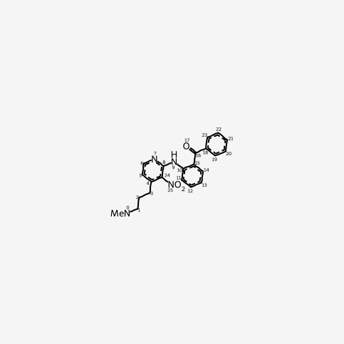 CNCCCc1ccnc(Nc2ccccc2C(=O)c2ccccc2)c1[N+](=O)[O-]